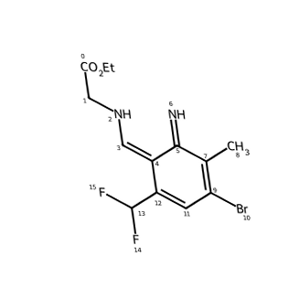 CCOC(=O)CN/C=C1\C(=N)C(C)=C(Br)C=C1C(F)F